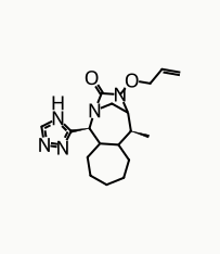 C=CCON1C(=O)N2CC1[C@@H](C)C1CCCCCC1[C@H]2c1nnc[nH]1